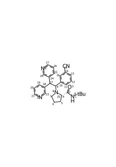 CC(C)(C)NC(=O)[C@@H]1CCCN1C(c1cccc(C#N)c1)C(c1cccnc1)c1cccnc1